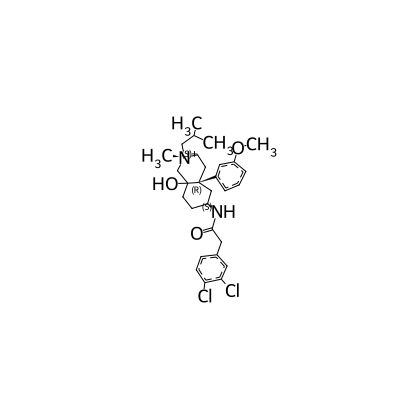 COc1cccc([C@]23CC[N@@+](C)(CC(C)C)CC2(O)CC[C@H](NC(=O)Cc2ccc(Cl)c(Cl)c2)C3)c1